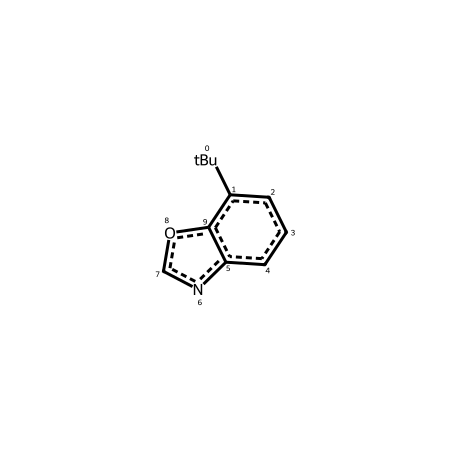 CC(C)(C)c1cccc2ncoc12